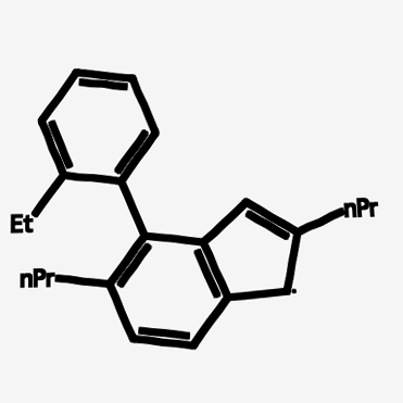 CCCC1=Cc2c(ccc(CCC)c2-c2ccccc2CC)[CH]1